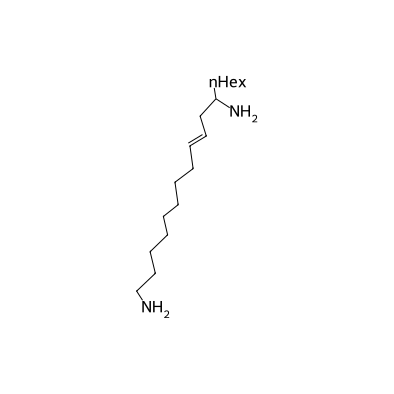 CCCCCCC(N)CC=CCCCCCCCCN